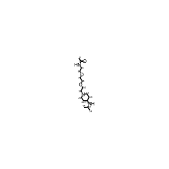 CC(=O)NCCOCCOCCN1CCC(NC(C)C)CC1